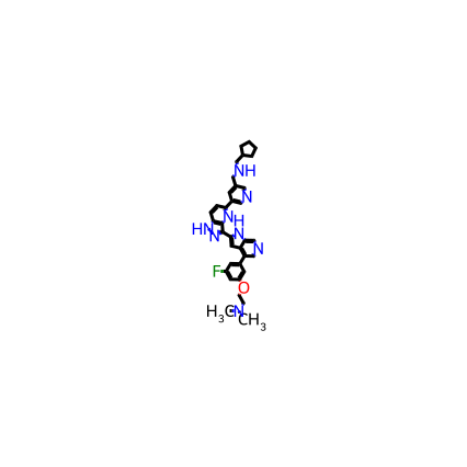 CN(C)CCOc1cc(F)cc(-c2cncc3[nH]c(-c4n[nH]c5ccc(-c6cncc(CNCC7CCCC7)c6)nc45)cc23)c1